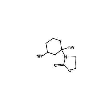 CCCC1CCCC(CCC)(N2CCOC2=S)C1